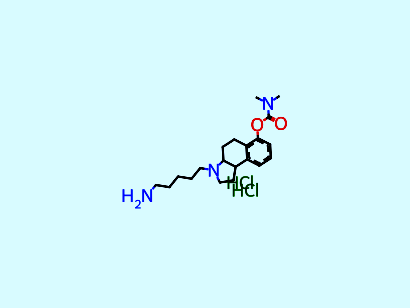 CN(C)C(=O)Oc1cccc2c1CCC1C2CCN1CCCCCN.Cl.Cl